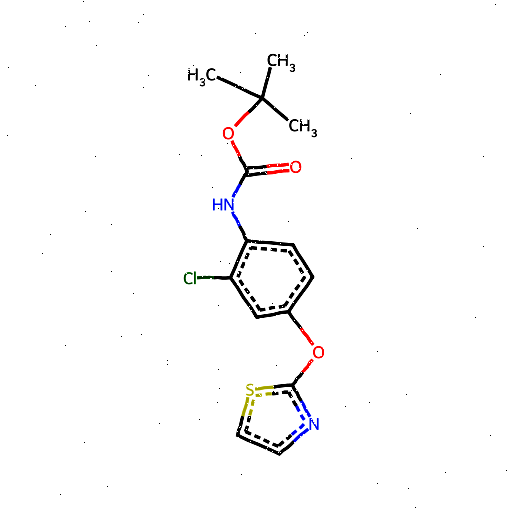 CC(C)(C)OC(=O)Nc1ccc(Oc2nccs2)cc1Cl